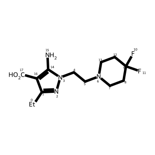 CCc1nn(CCN2CCC(F)(F)CC2)c(N)c1C(=O)O